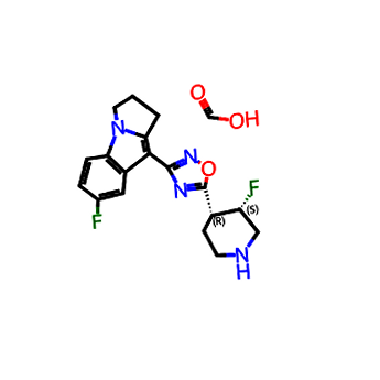 Fc1ccc2c(c1)c(-c1noc([C@H]3CCNC[C@H]3F)n1)c1n2CCC1.O=CO